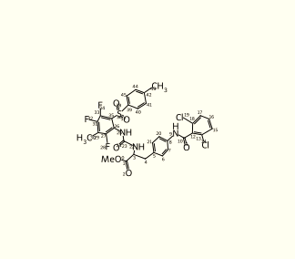 COC(=O)C(Cc1ccc(NC(=O)c2c(Cl)cccc2Cl)cc1)NC(=O)Nc1c(F)c(C)c(F)c(F)c1S(=O)(=O)c1ccc(C)cc1